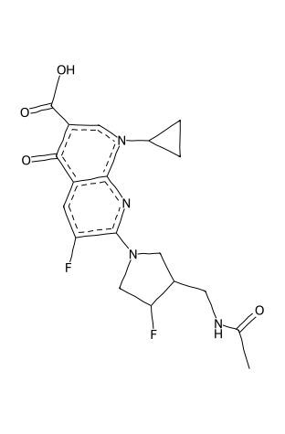 CC(=O)NCC1CN(c2nc3c(cc2F)c(=O)c(C(=O)O)cn3C2CC2)CC1F